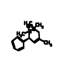 CC1=C[C@@H](c2ccccc2)[Si](C)(C)[Si](C)(C)C1